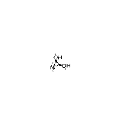 OOO.[Ni]